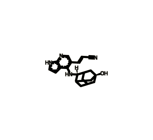 N#C/C=C/c1cnc2[nH]ccc2c1N[C@H]1C2CC3CC1C[C@@](O)(C3)C2